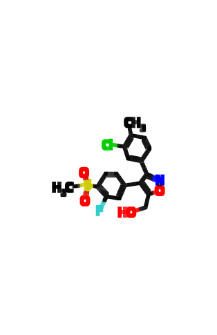 Cc1ccc(-c2noc(CO)c2-c2ccc(S(C)(=O)=O)c(F)c2)cc1Cl